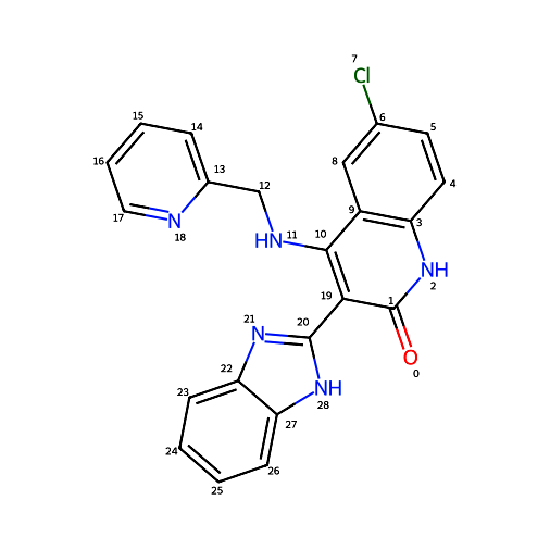 O=c1[nH]c2ccc(Cl)cc2c(NCc2ccccn2)c1-c1nc2ccccc2[nH]1